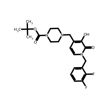 CC(C)(C)OC(=O)N1CCN(Cc2ccn(Cc3cccc(F)c3F)c(=O)c2O)CC1